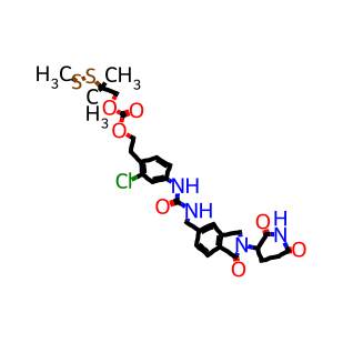 CSSC(C)(C)COC(=O)OCCc1ccc(NC(=O)NCc2ccc3c(c2)CN(C2CCC(=O)NC2=O)C3=O)cc1Cl